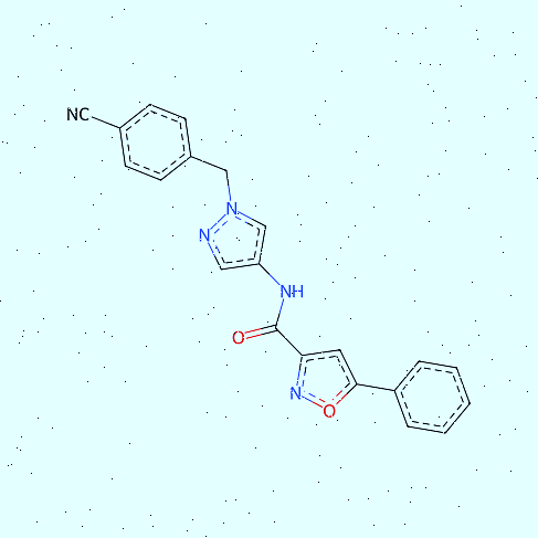 N#Cc1ccc(Cn2cc(NC(=O)c3cc(-c4ccccc4)on3)cn2)cc1